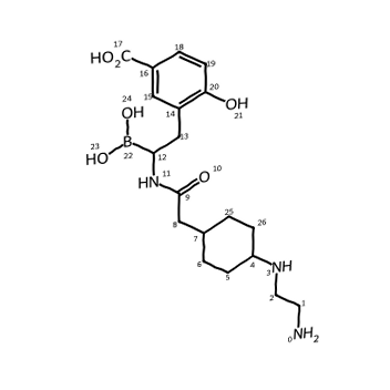 NCCNC1CCC(CC(=O)NC(Cc2cc(C(=O)O)ccc2O)B(O)O)CC1